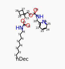 CCCCCCCCCCCCCCCCCCNC(=O)OCC1(COC(=O)NCc2ccccn2)CCC1